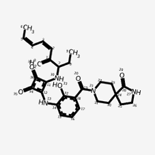 C=C(/C=C\C=C/C)C(CC)Nc1c(Nc2cccc(C(=O)N3CCC4(CCNC4=O)CC3)c2O)c(=O)c1=O